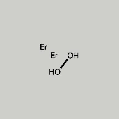 OO.[Er].[Er]